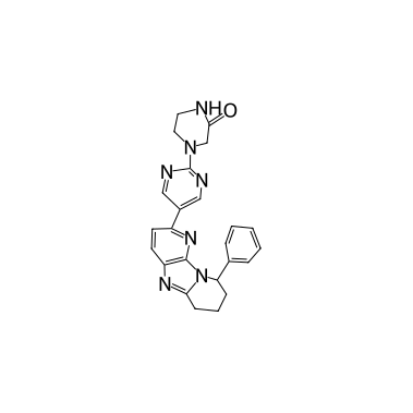 O=C1CN(c2ncc(-c3ccc4nc5n(c4n3)C(c3ccccc3)CCC5)cn2)CCN1